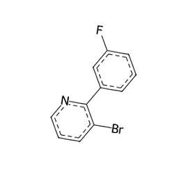 Fc1cccc(-c2ncccc2Br)c1